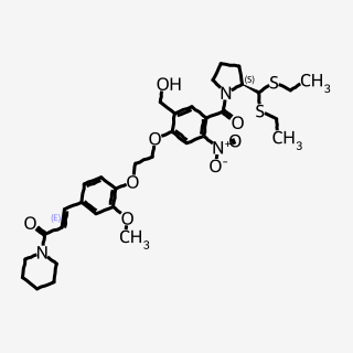 CCSC(SCC)[C@@H]1CCCN1C(=O)c1cc(CO)c(OCCOc2ccc(/C=C/C(=O)N3CCCCC3)cc2OC)cc1[N+](=O)[O-]